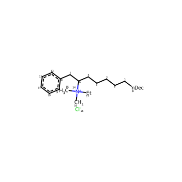 CCCCCCCCCCCCCCCC(Cc1ccccc1)[N+](C)(C)CC.[Cl-]